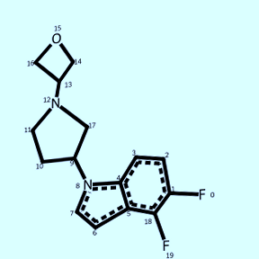 Fc1ccc2c(ccn2C2CCN(C3COC3)C2)c1F